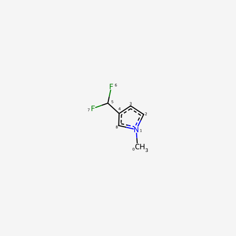 Cn1ccc(C(F)F)c1